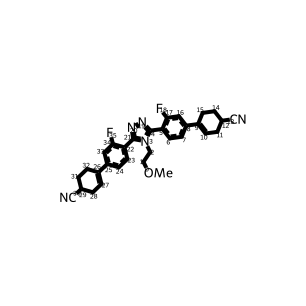 COCCn1c(-c2ccc(C3=CCC(C#N)CC3)cc2F)nnc1-c1ccc(C2=CCC(C#N)CC2)cc1F